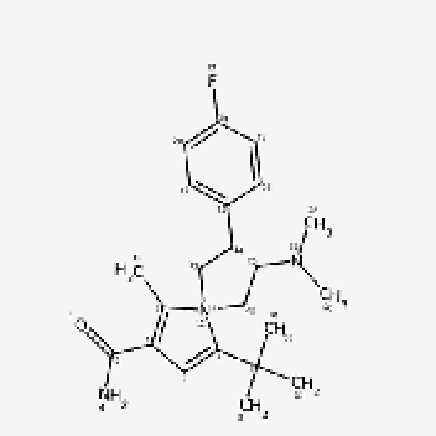 CC1=C(C(N)=O)C=C(C(C)(C)C)[N+]1(CCc1ccc(F)cc1)CCN(C)C